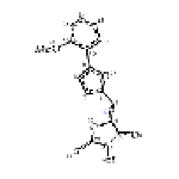 CCN1C(=O)/C(=C/c2ccc(-c3ccccc3OC)o2)OC1=S